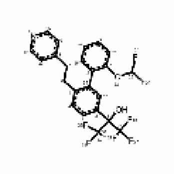 OC(c1ccc(CCc2ccncc2)c(-c2ccccc2OC(F)F)c1)(C(F)(F)F)C(F)(F)F